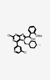 COc1ccccc1C(O)c1nc2nc(Cl)nc(-c3cncc(Cl)c3)c2n1C[C@H]1CC[C@H](C)CC1